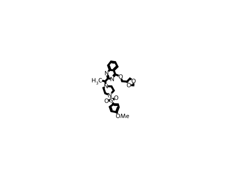 COc1ccc(S(=O)(=O)N2CCN(C(C)c3nc(OCC4COCO4)c4ccccc4n3)CC2)cc1